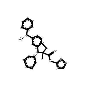 C[C@]1(C(=O)Nc2nncs2)Cc2ccc([C@H](O)c3ccccc3)cc2[C@H]1c1ccccc1